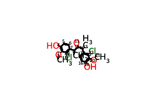 COc1c(O)ccc(C(C)C(=O)C(C)c2ccc(O)c(OC)c2Cl)c1Cl